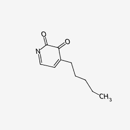 CCCCCC1=CC=NC(=O)C1=O